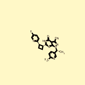 C[C@H](c1ccc(C(F)(F)F)nc1)n1nc(C#N)c2c(=O)[nH]c([C@@H]3CC[C@H]3c3ccc(F)cn3)nc21